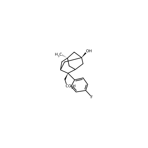 C[C@]12CC3C[C@](O)(CC(C1)[C@@]3(CC(=O)O)c1ccc(F)cc1)C2